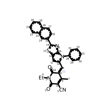 CCN1C(=O)C(C#N)=C(C)/C(=C/c2cc3sc(-c4ccc5ccccc5c4)nc3n2-c2ccccc2)C1=O